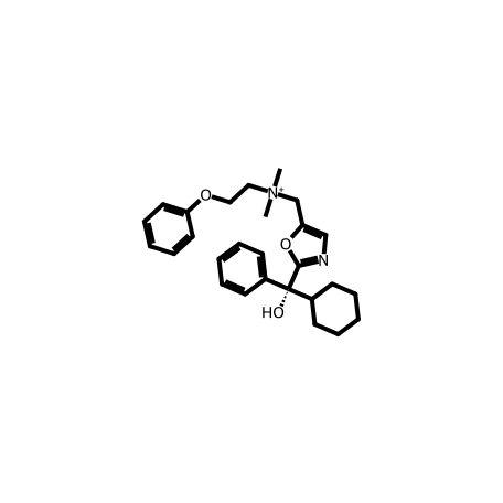 C[N+](C)(CCOc1ccccc1)Cc1cnc([C@](O)(c2ccccc2)C2CCCCC2)o1